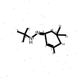 CC1=C/C(=N\NC(C)(C)C)CC(C)(C)C1